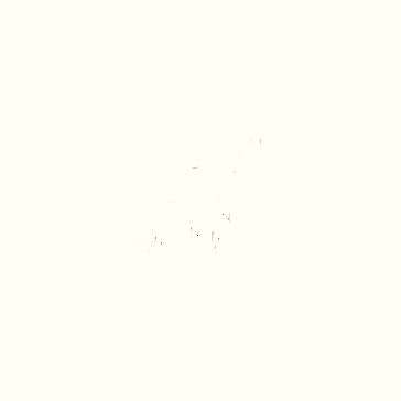 C=C(N)n1nnc2c(CC(CC)CCCC)cccc21